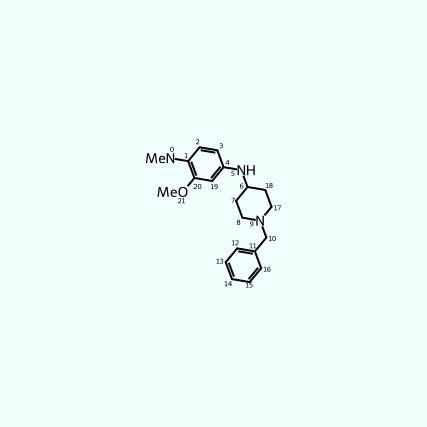 CNc1ccc(NC2CCN(Cc3ccccc3)CC2)cc1OC